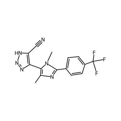 Cc1nc(-c2ccc(C(F)(F)F)cc2)n(C)c1-c1nn[nH]c1C#N